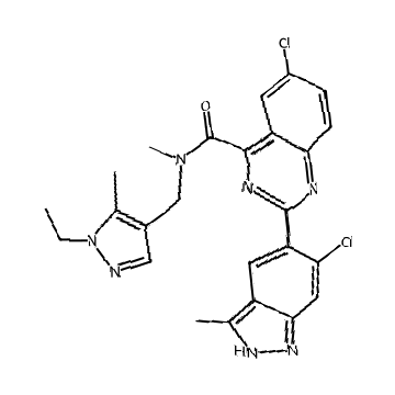 CCn1ncc(CN(C)C(=O)c2nc(-c3cc4c(C)[nH]nc4cc3Cl)nc3ccc(Cl)cc23)c1C